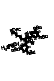 CCCCCCCCCCCCCC=CC1=C(c2cc(CCCC)cc(CCCC)c2)[N+](=[N-])C(c2cc(CCCC)cc(CCCC)c2)=C1CCCCCC.[CH3][Pd][CH3]